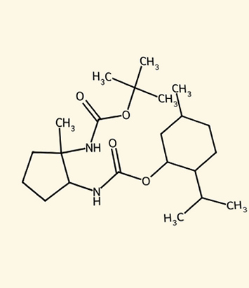 CC1CCC(C(C)C)C(OC(=O)NC2CCCC2(C)NC(=O)OC(C)(C)C)C1